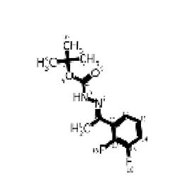 C/C(=N\NC(=O)OC(C)(C)C)c1cccc(F)c1F